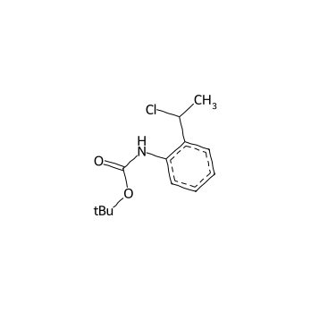 CC(Cl)c1ccccc1NC(=O)OC(C)(C)C